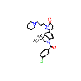 CC1(C)CN(C(=O)c2ccc(Cl)cc2)c2ccc(-c3ccc(=O)n(CCCN4CCCCC4)n3)cc21